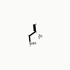 C=C[CH2][SnH].[Zn]